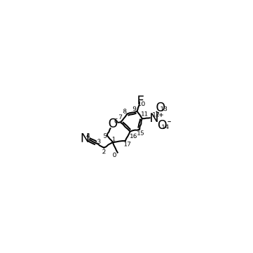 CC1(CC#N)COc2cc(F)c([N+](=O)[O-])cc2C1